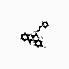 CC(NCCN1CCCC1)c1nc2ccccc2c(=O)n1-c1ccc(F)cc1